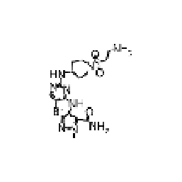 Cn1ncc(Nc2nc(NC3CCN(S(=O)(=O)CCN)CC3)ncc2Br)c1C(N)=O